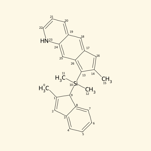 CC1=Cc2ccccc2C1[Si](C)(C)c1c(C)cc2cc3ccc[nH]c3cc12